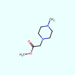 [CH2]N1CCN(CC(=O)OC)CC1